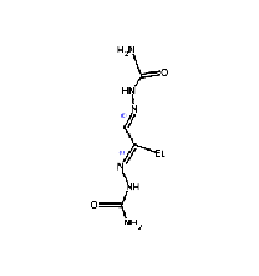 CCC(/C=N/NC(N)=O)=N\NC(N)=O